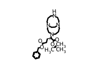 CC(C)(C)OC(=O)[C@@H](CCC(=O)OCc1ccccc1)N1CCCN2CCNCCCN(CC2)CC1